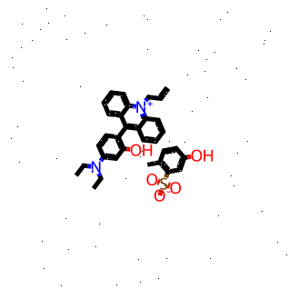 C=CC[n+]1c2ccccc2c(-c2ccc(N(CC)CC)cc2O)c2ccccc21.Cc1ccc(O)cc1S(=O)(=O)[O-]